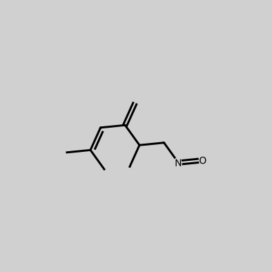 C=C(C=C(C)C)C(C)CN=O